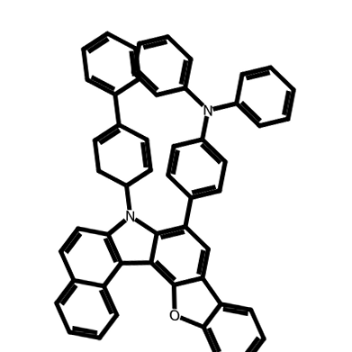 C1=CC(n2c3ccc4ccccc4c3c3c4oc5ccccc5c4cc(-c4ccc(N(c5ccccc5)c5ccccc5)cc4)c32)CC=C1c1ccccc1